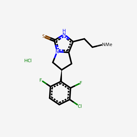 CNCCc1[nH]c(=S)n2c1C[C@@H](c1c(F)ccc(Cl)c1F)C2.Cl